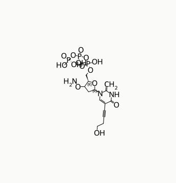 C=C1NC(=O)C(C#CCCO)=CN1[C@H]1CC(ON)[C@@H](COP(=O)(O)OP(=O)(O)OP(=O)(O)O)O1